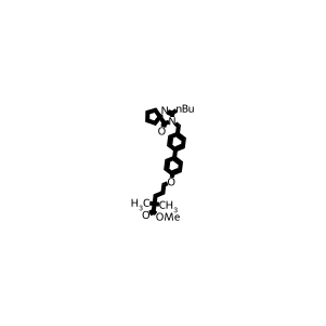 CCCCC1=NC2(CCCC2)C(=O)N1Cc1ccc(-c2ccc(OCCCC(C)(C)C(=O)OC)cc2)cc1